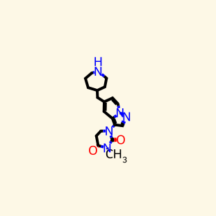 CN1C(=O)CCN(c2cnn3ccc(CC4CCCNCC4)cc23)C1=O